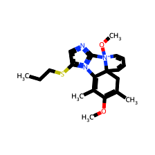 CCCSc1cnc2n1C1=C(C)C(OC)=C(C)CC13C=CC=C[N+]23OC